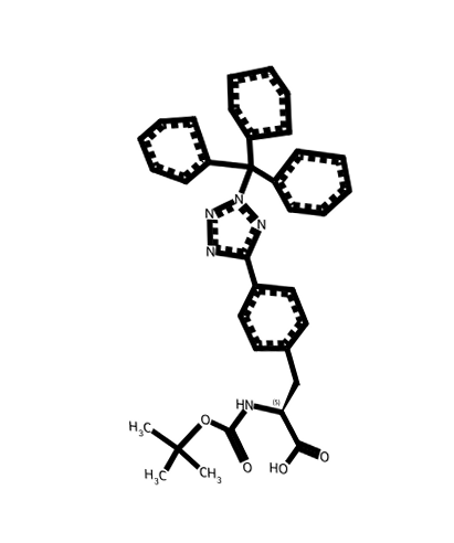 CC(C)(C)OC(=O)N[C@@H](Cc1ccc(-c2nnn(C(c3ccccc3)(c3ccccc3)c3ccccc3)n2)cc1)C(=O)O